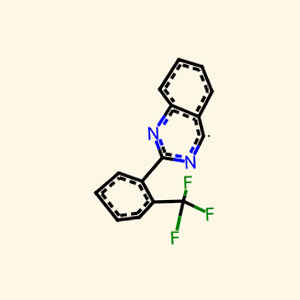 FC(F)(F)c1ccccc1-c1n[c]c2ccccc2n1